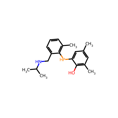 Cc1cc(C)c(O)c(Pc2c(C)cccc2CNC(C)C)c1